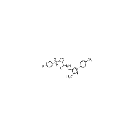 Cc1nn(-c2ccc(C(F)(F)F)cc2)cc1CNC(=O)C1CCC1S(=O)(=O)c1ccc(F)cc1